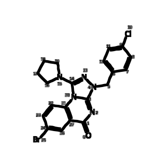 O=c1nc2n(Cc3ccc(Cl)cc3)nc(N3CCCC3)n2c2ccc(Br)cc12